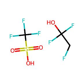 O=S(=O)(O)C(F)(F)F.OC(F)(F)CF